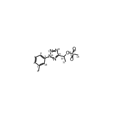 Cc1cccc(-n2nnc(C(C)OS(C)(=O)=O)n2)c1